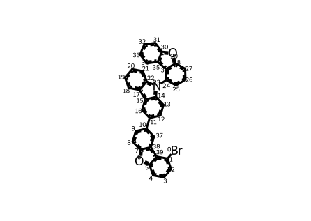 Brc1cccc2oc3ccc(-c4ccc5c(c4)c4ccccc4n5-c4cccc5oc6ccccc6c45)cc3c12